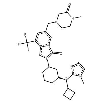 CN1CCN(Cc2cc(C(F)(F)F)c3cn(C4CCCC([C@@H](c5nncn5C)C5CCC5)C4)c(=O)n3c2)CC1=O